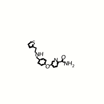 NC(=O)c1ccc(Oc2ccc(CNCCc3cccs3)cc2)cn1